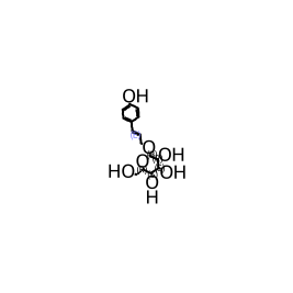 OC[C@H]1O[C@@H](OC/C=C/c2ccc(O)cc2)[C@H](O)[C@@H](O)[C@@H]1O